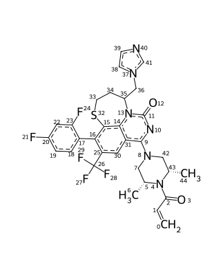 C=CC(=O)N1[C@H](C)CN(c2nc(=O)n3c4c(c(-c5ccc(F)cc5F)c(C(F)(F)F)cc24)SCCC3Cn2ccnc2)C[C@@H]1C